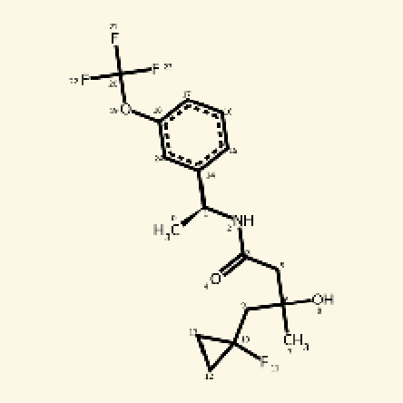 C[C@H](NC(=O)CC(C)(O)CC1(F)CC1)c1cccc(OC(F)(F)F)c1